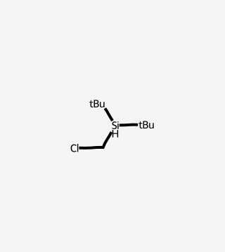 CC(C)(C)[SiH](CCl)C(C)(C)C